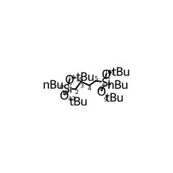 CCCC[Si](CCCC[Si](CCCC)(OC(C)(C)C)OC(C)(C)C)(OC(C)(C)C)OC(C)(C)C